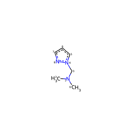 CN(C)Cn1cc[c]n1